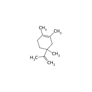 C=C(C)C1(C)CCC(C)=C(C)C1